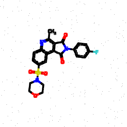 Cc1nc2ccc(S(=O)(=O)N3CCOCC3)cc2c2c1C(=O)N(c1ccc(F)cc1)C2=O